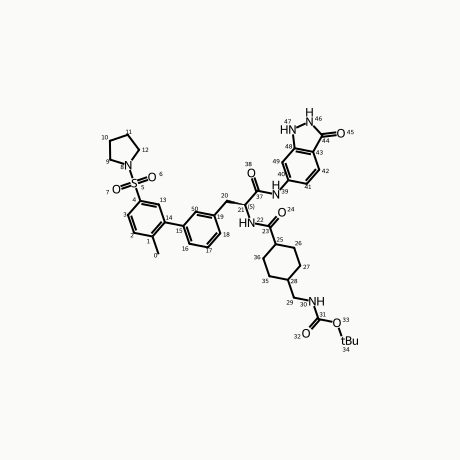 Cc1ccc(S(=O)(=O)N2CCCC2)cc1-c1cccc(C[C@H](NC(=O)C2CCC(CNC(=O)OC(C)(C)C)CC2)C(=O)Nc2ccc3c(=O)[nH][nH]c3c2)c1